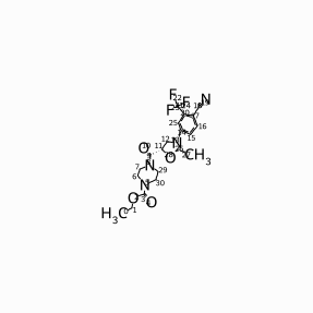 CCOC(=O)N1CCN(C(=O)[C@@H]2CN(c3ccc(C#N)c(C(F)(F)F)c3)[C@@H](C)O2)CC1